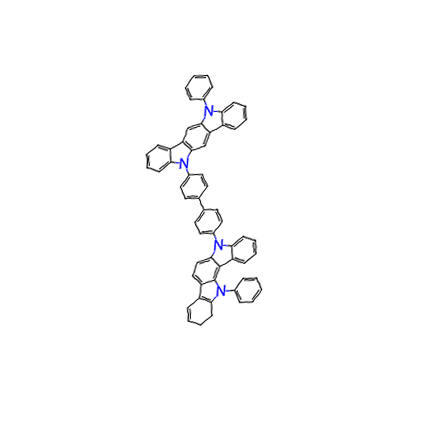 C1=Cc2c(n(-c3ccccc3)c3c2ccc2c3c3ccccc3n2-c2ccc(-c3ccc(-n4c5ccccc5c5cc6c(cc54)c4ccccc4n6-c4ccccc4)cc3)cc2)CC1